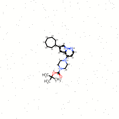 CC(C)(C)OC(=O)N1CCN(c2ccnn3cc(C4CCCCCC4)cc23)CC1